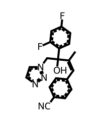 CC(=Cc1ccc(C#N)cc1)C(O)(Cn1ccnn1)c1ccc(F)cc1F